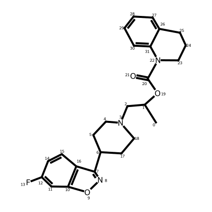 CC(CN1CCC(c2noc3cc(F)ccc23)CC1)OC(=O)N1CCCc2ccccc21